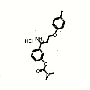 CN(C)C(=O)Oc1cccc(C(N)CCOc2ccc(F)cc2)c1.Cl